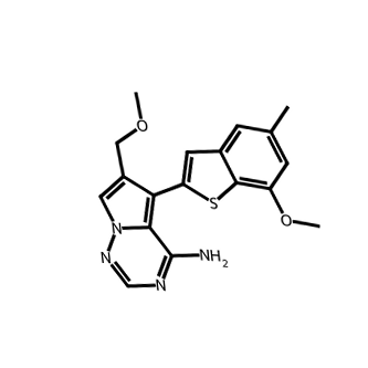 COCc1cn2ncnc(N)c2c1-c1cc2cc(C)cc(OC)c2s1